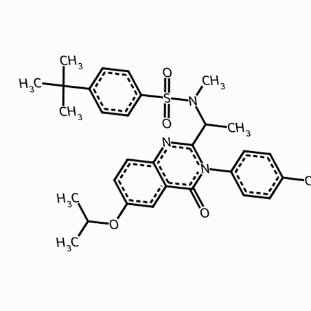 Cc1ccc(-n2c(C(C)N(C)S(=O)(=O)c3ccc(C(C)(C)C)cc3)nc3ccc(OC(C)C)cc3c2=O)cc1